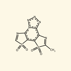 CC1=Nc2c(c3c(n4nnnc24)N=CS3(=O)=O)S1(=O)=O